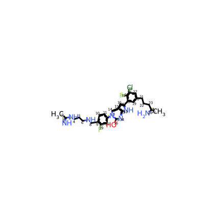 CC(=N)NCCCNCc1ccc(N2C=c3cc(-c4cc(CCC[C@H](C)N)cc(Cl)c4F)[nH]c3=NC2O)cc1F